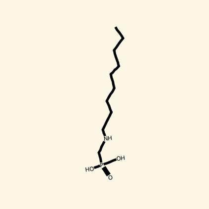 CCCCCCCCCNCP(=O)(O)O